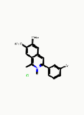 COc1cc2cc(-c3cccc(C(C)=O)c3)[n+](C)c(C)c2cc1OC.[Cl-]